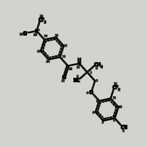 CC(C#N)(COc1ccc(C#N)cc1C(F)(F)F)NC(=O)c1ccc([S+]([O-])C(F)(F)F)cc1